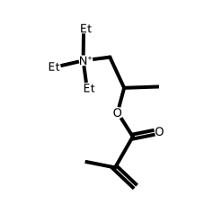 C=C(C)C(=O)OC(C)C[N+](CC)(CC)CC